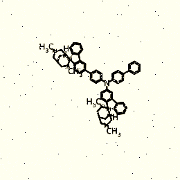 C[C@@H]1CC2C[C@@H](C1)[C@@]1(c3ccccc3-c3cc(N(c4ccc(-c5ccccc5)cc4)c4ccc(-c5ccc6c(c5)-c5ccccc5[C@]65[C@H]6CC(C[C@@H](C)C6)C[C@@H]5C)cc4)ccc31)[C@@H](C)C2